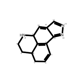 C1=CC2=C3C(C1)CCNC3C=C1C=NN=C12